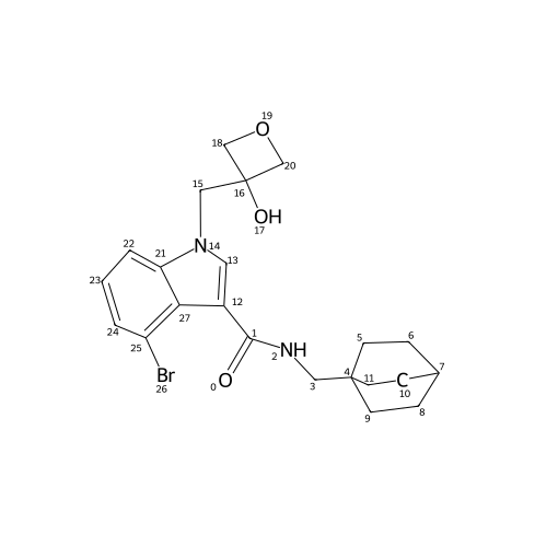 O=C(NCC12CCC(CC1)CC2)c1cn(CC2(O)COC2)c2cccc(Br)c12